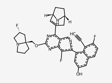 C#Cc1c(F)ccc2cc(O)cc(-c3ncc4c(C5=C[C@@H]6CC[C@H](C5)N6)nc(OC[C@@]56CCCN5C[C@H](F)C6)nc4c3F)c12